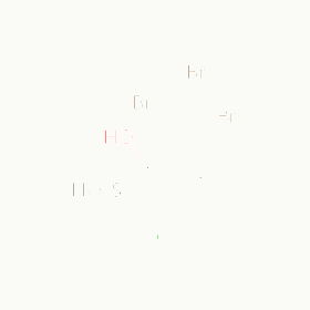 CC1(C)C(Cl)C(O)(S(=O)(=O)O)C1C(Br)(Br)Br